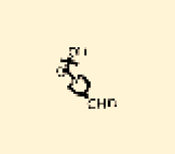 CC(C)(O)C(=O)N1CCC([C]=O)CC1